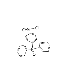 O=P(c1ccccc1)(c1ccccc1)c1ccccc1.[Cl][Ni][Cl]